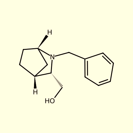 OC[C@@H]1[C@@H]2CC[C@@H](C2)N1Cc1ccccc1